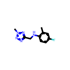 Cc1cc(F)ccc1NCc1nnn(C)n1